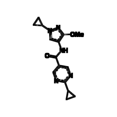 COc1nn(C2CC2)cc1NC(=O)c1cnc(C2CC2)nc1